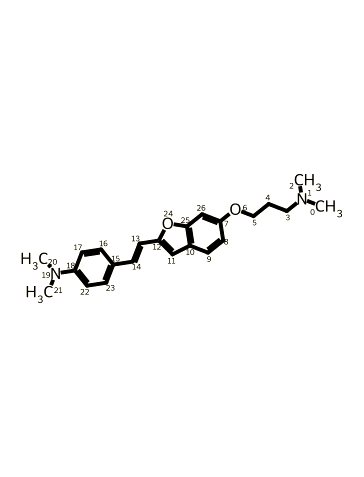 CN(C)CCCOc1ccc2cc(/C=C/c3ccc(N(C)C)cc3)oc2c1